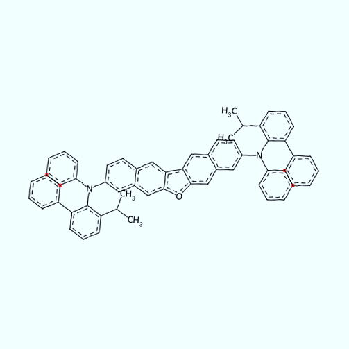 CC(C)c1cccc(-c2ccccc2)c1N(c1ccccc1)c1ccc2cc3c(cc2c1)oc1cc2cc(N(c4ccccc4)c4c(-c5ccccc5)cccc4C(C)C)ccc2cc13